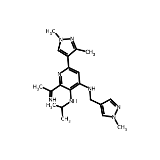 CC(=N)c1nc(-c2cn(C)nc2C)cc(NCc2cnn(C)c2)c1NC(C)C